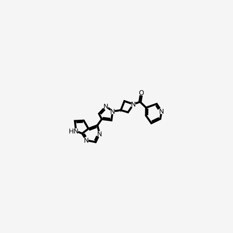 O=C(c1cccnc1)N1C[C](n2cc(-c3ncnc4[nH]ccc34)cn2)C1